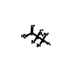 [2H]C([2H])([2H])C([2H])(C)C(N)=O